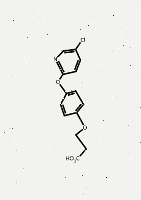 O=C(O)CCOc1ccc(Oc2ccc(Cl)cn2)cc1